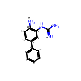 N=C(N)Nc1cc(-c2ccccc2)ccc1N